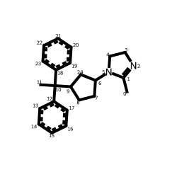 CC1=NCCN1C1CCC(C(C)(c2ccccc2)c2ccccc2)C1